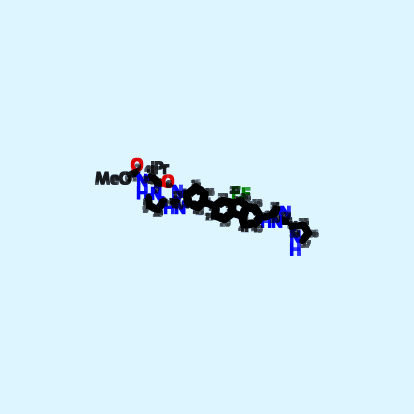 COC(=O)NC(C(=O)N1CCC[C@H]1c1nc2ccc(-c3ccc4c(c3)C(F)(F)c3cc(-c5cnc([C@@H]6CCCN6)[nH]5)ccc3-4)cc2[nH]1)C(C)C